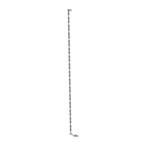 B=BB=BB=BB=BB=BB=BB=BB=BB=BB=BB=BB=BB=BB=BB=BB=BOCCCC